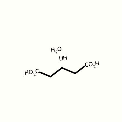 O.O=C(O)CCCC(=O)O.[LiH]